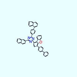 c1ccc(-c2ccc(-c3ccc(-c4nc(-c5ccc(-c6cccc7ccccc67)cc5)nc(-c5ccc6ccccc6c5)n4)c4c3oc3ccccc34)cc2)cc1